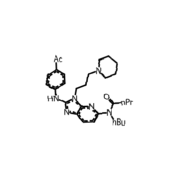 CCCCN(C(=O)CCC)c1ccc2nc(Nc3ccc(C(C)=O)cc3)n(CCCN3CCCCC3)c2n1